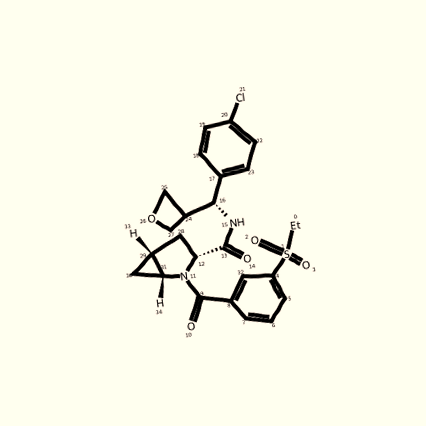 CCS(=O)(=O)c1cccc(C(=O)N2[C@@H](C(=O)N[C@@H](c3ccc(Cl)cc3)C3COC3)C[C@H]3C[C@H]32)c1